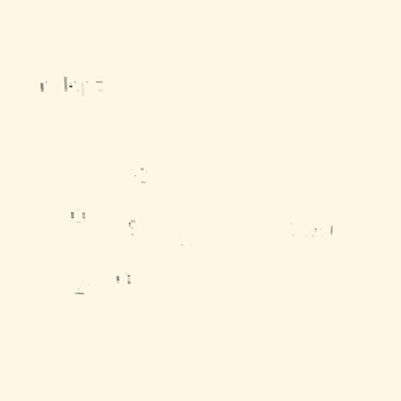 CCCCCCCCCCCC(=O)[O-].O=S(=O)([O-])[O-].[Zr+3]